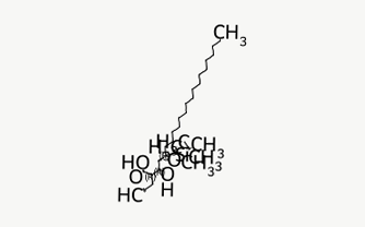 C#CC[C@@H](C(=O)O)[C@H](O)C[C@@H](CCCCCCCCCCCCCCCCC)O[Si](C)(C)C(C)(C)C